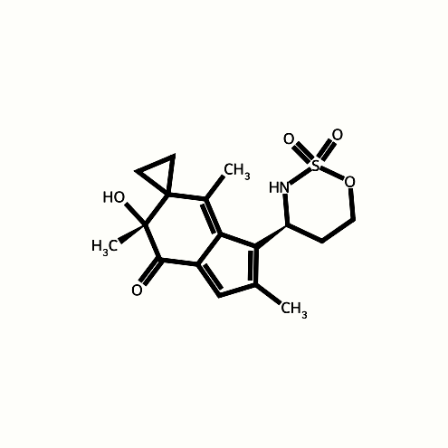 CC1=C([C@@H]2CCOS(=O)(=O)N2)C2=C(C)C3(CC3)[C@@](C)(O)C(=O)C2=C1